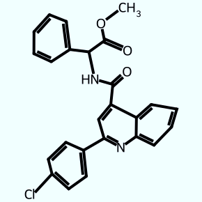 COC(=O)C(NC(=O)c1cc(-c2ccc(Cl)cc2)nc2ccccc12)c1ccccc1